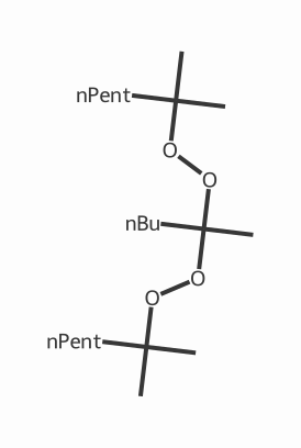 CCCCCC(C)(C)OOC(C)(CCCC)OOC(C)(C)CCCCC